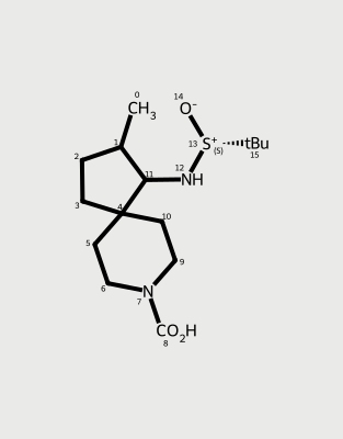 CC1CCC2(CCN(C(=O)O)CC2)C1N[S@+]([O-])C(C)(C)C